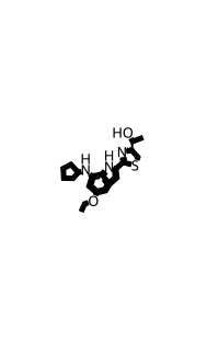 CCOc1cc(NC2CCCC2)c2[nH]c(C3=N[C@@H](C(C)O)CS3)cc2c1